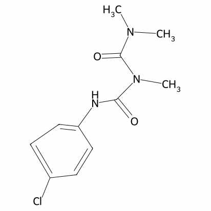 CN(C)C(=O)N(C)C(=O)Nc1ccc(Cl)cc1